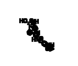 CC1(C(=O)N[C@H]2CC[C@H](CC(=O)Nc3cnc(-c4ccc(C(C)(C)NC(=O)O)c(F)c4)c(-c4ccccc4)c3)CC2)CC1